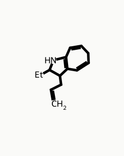 C=CCC1C2=C(C=CCC=C2)NC1CC